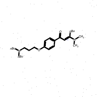 CCCC/C(=C\C(=O)c1ccc(OCCCN(CCCC)CCCC)cc1)N(C)C